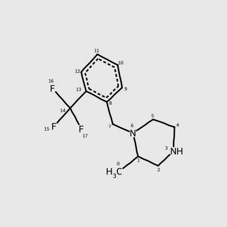 CC1CNCCN1Cc1ccccc1C(F)(F)F